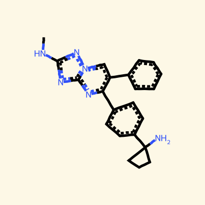 CNc1nc2nc(-c3ccc(C4(N)CCC4)cc3)c(-c3ccccc3)cn2n1